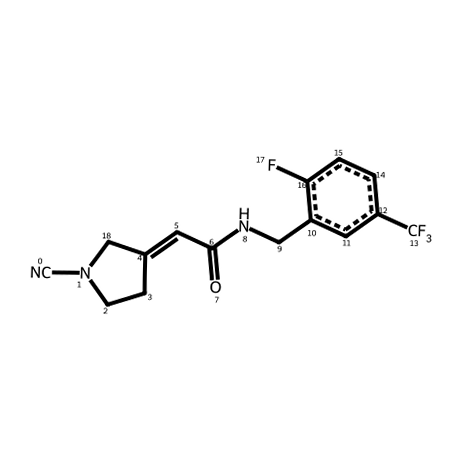 N#CN1CCC(=CC(=O)NCc2cc(C(F)(F)F)ccc2F)C1